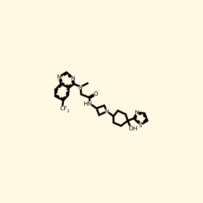 CN(CC(=O)NC1CN(C2CCC(O)(c3nccs3)CC2)C1)c1ncnc2ccc(C(F)(F)F)cc12